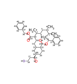 CC(C)C(C)CCC(C)C(CCC1C[C@H](C(=O)CCI)CCC1C(=O)OCc1ccccc1)C(=O)OCc1ccccc1